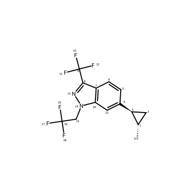 C[C@H]1C[C@@H]1c1ccc2c(C(F)(F)F)nn(CC(F)(F)F)c2c1